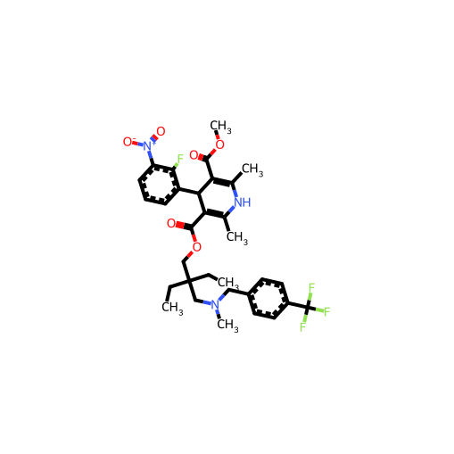 CCC(CC)(COC(=O)C1=C(C)NC(C)=C(C(=O)OC)C1c1cccc([N+](=O)[O-])c1F)CN(C)Cc1ccc(C(F)(F)F)cc1